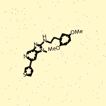 COc1ccc(OC)c(CCNc2nc3cnc(-c4ccsc4)cc3n2C)c1